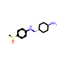 C[S+]([O-])c1ccc(NC[C@H]2CC[C@H](N)CC2)cc1